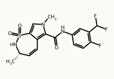 C[C@H]1C=Cc2c(cn(C)c2C(=O)Nc2ccc(F)c(C(F)F)c2)S(=O)(=O)N1